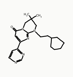 CC1(C)CN(CCC2CCCCC2)c2nc(-c3ccncn3)cc(=O)n2C1